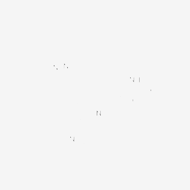 CC(C)n1cc2cc(-c3cncc(Cl)c3N3CCC4(CC3)CNC(=O)O4)ccc2n1